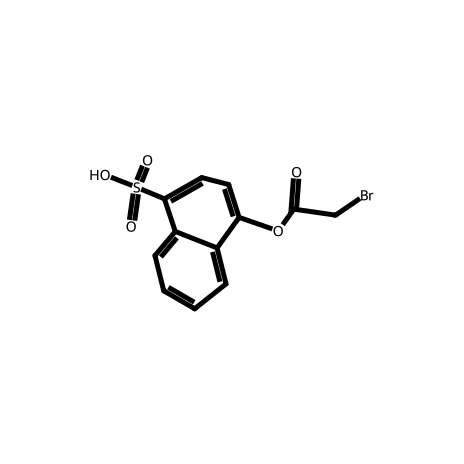 O=C(CBr)Oc1ccc(S(=O)(=O)O)c2ccccc12